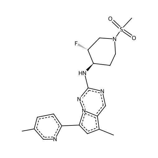 Cc1ccc(-c2cc(C)c3cnc(N[C@@H]4CCN(S(C)(=O)=O)C[C@H]4F)nn23)nc1